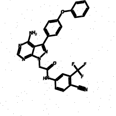 N#Cc1ccc(NC(=O)Cn2nc(-c3ccc(Oc4ccccc4)cc3)c3c(N)ncnc32)cc1C(F)(F)F